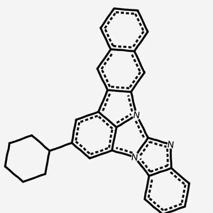 c1ccc2cc3c(cc2c1)c1cc(C2CCCCC2)cc2c1n3c1nc3ccccc3n21